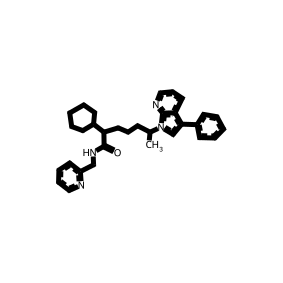 CC(CCCC(C(=O)NCc1ccccn1)C1CCCCC1)n1cc(-c2ccccc2)c2cccnc21